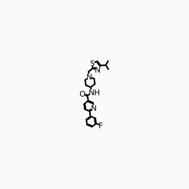 CC(C)c1csc(CN2CCC(NC(=O)c3ccc(-c4cccc(F)c4)nc3)CC2)n1